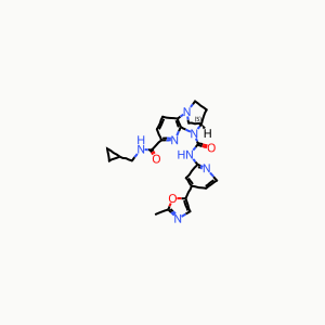 Cc1ncc(-c2ccnc(NC(=O)N3c4nc(C(=O)NCC5CC5)ccc4N4CC[C@H]3C4)c2)o1